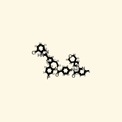 Cc1ccc(C(=O)Nc2ccc(C(=O)N3CCc4cc(-c5nc6cccc(Cl)c6[nH]5)sc4-c4ccc(F)cc43)cc2)c(N2CC3(CCOCC3)C2)n1